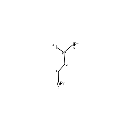 CCCCC[C](I)C(C)C